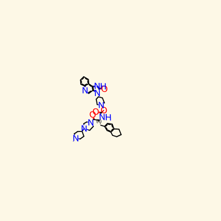 CN1CCC(N2CCN(C(=O)[C@@H](Cc3ccc4c(c3)CCCC4)NC(=O)ON3CCC(n4c(=O)[nH]c5c6ccccc6ncc54)CC3)CC2)CC1